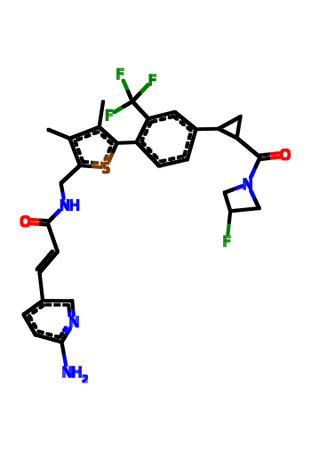 Cc1c(CNC(=O)C=Cc2ccc(N)nc2)sc(-c2ccc(C3CC3C(=O)N3CC(F)C3)cc2C(F)(F)F)c1C